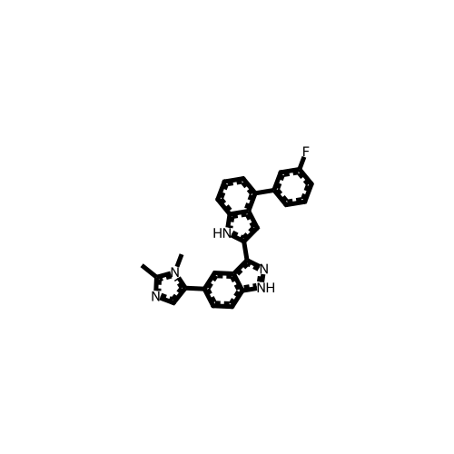 Cc1ncc(-c2ccc3[nH]nc(-c4cc5c(-c6cccc(F)c6)cccc5[nH]4)c3c2)n1C